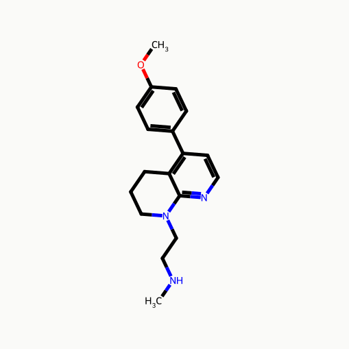 CNCCN1CCCc2c(-c3ccc(OC)cc3)ccnc21